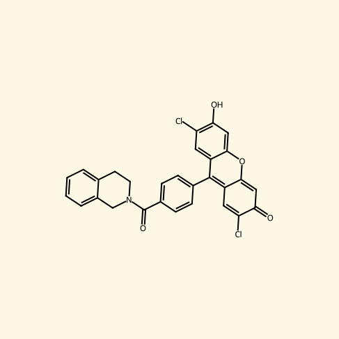 O=C(c1ccc(-c2c3cc(Cl)c(=O)cc-3oc3cc(O)c(Cl)cc23)cc1)N1CCc2ccccc2C1